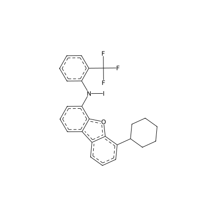 FC(F)(F)c1ccccc1N(I)c1cccc2c1oc1c(C3CCCCC3)cccc12